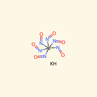 O=[N][Ir]([N]=O)([N]=O)([N]=O)([N]=O)[N]=O.[KH]